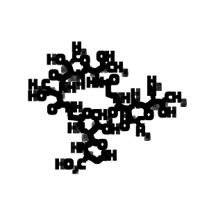 C[C@@H](O)[C@H](N)C(=O)N[C@H](C(=O)NCC(=O)N[C@H](C(=O)N[C@H](C(=O)N[C@H](C(=O)NCC(=O)N[C@H](C(=O)N[C@@H](CS)C(=O)O)[C@@H](C)O)[C@@H](C)O)[C@@H](C)O)[C@@H](C)O)[C@@H](C)O